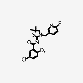 COc1ccc(Cl)cc1C(=O)/N=C1\SC(C)(C)CN1Cc1ccc(F)nc1